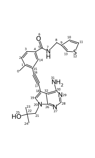 Cc1ccc(C(=O)NCc2ccsc2)cc1C#Cc1cn(CC(C)(C)O)c2ncnc(N)c12